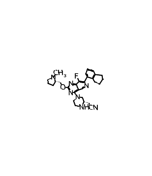 CN1CCC[C@H]1COc1nc(N2CCN[C@@H](CC#N)C2)c2cnc(-c3cccc4c3CCCC4)c(F)c2n1